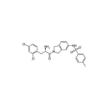 Cc1ccc(S(=O)(=O)Nc2ccc3c(c2)CN(C(=O)[C@H](N)Cc2ccc(Cl)cc2Cl)C3)cc1